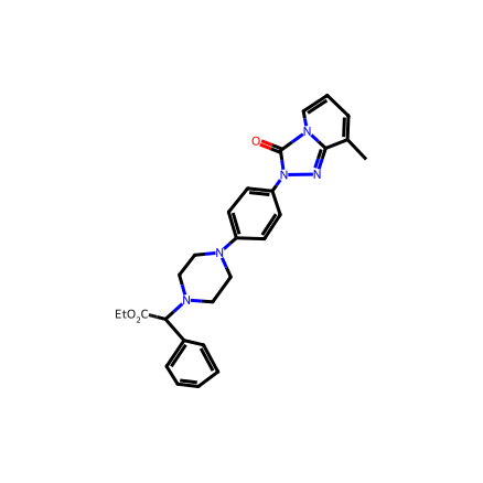 CCOC(=O)C(c1ccccc1)N1CCN(c2ccc(-n3nc4c(C)cccn4c3=O)cc2)CC1